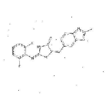 Cc1nc2ccc(C=C3SC(=Nc4c(Cl)cccc4Cl)NC3=O)cc2o1